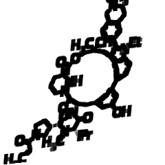 C=CC(=O)N1CC[C@H](C(=O)N(C)[C@H](C(=O)N[C@H]2Cc3cc(O)cc(c3)-c3ccc4c(c3)c(c(-c3ccc5c(c3)CCN(C)C5)n4CC)CC(C)(C)COC(=O)[C@@H]3CCCN(N3)C2=O)C(C)C)C1